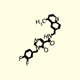 Cc1ccnc2ccc(CNC(=O)c3cncn(Cc4ccc(F)c(F)c4)c3=O)cc12